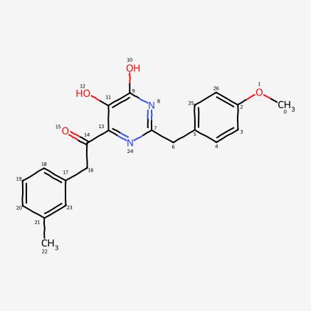 COc1ccc(Cc2nc(O)c(O)c(C(=O)Cc3cccc(C)c3)n2)cc1